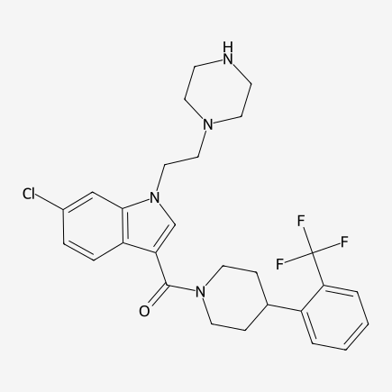 O=C(c1cn(CCN2CCNCC2)c2cc(Cl)ccc12)N1CCC(c2ccccc2C(F)(F)F)CC1